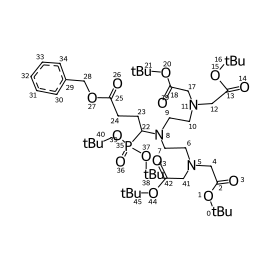 CC(C)(C)OC(=O)CN(CCN(CCN(CC(=O)OC(C)(C)C)CC(=O)OC(C)(C)C)C(CCC(=O)OCc1ccccc1)P(=O)(OC(C)(C)C)OC(C)(C)C)CC(=O)OC(C)(C)C